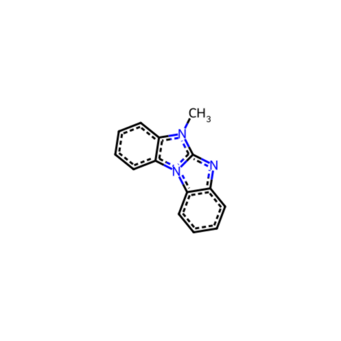 Cn1c2ccccc2n2c3ccccc3nc12